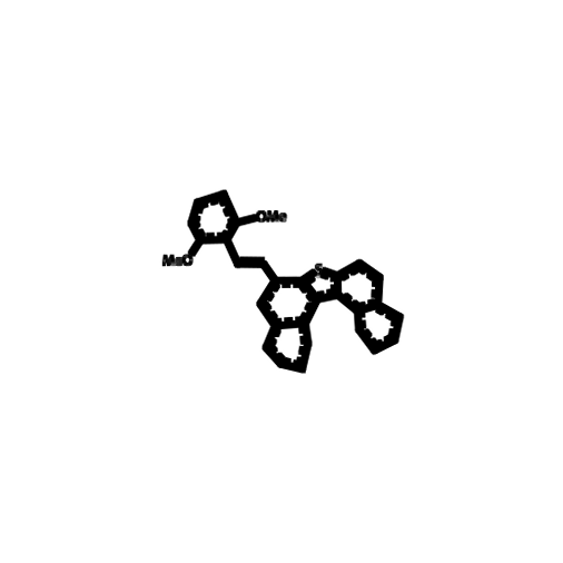 COc1cccc(OC)c1/C=C/c1cc2ccccc2c2c1sc1ccc3ccccc3c12